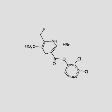 Br.O=C(O)C1=C(CF)NC=C(C(=O)Oc2cccc(Cl)c2Cl)C1